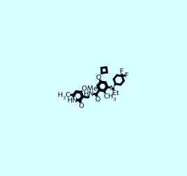 CCN(c1cc(OC2CCC2)cc(C(=O)NCc2c(OC)cc(C)[nH]c2=O)c1C)C1CCC(F)(F)CC1